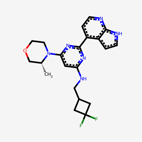 C[C@@H]1COCCN1c1cc(NCC2CC(F)(F)C2)nc(-c2ccnc3[nH]ccc23)n1